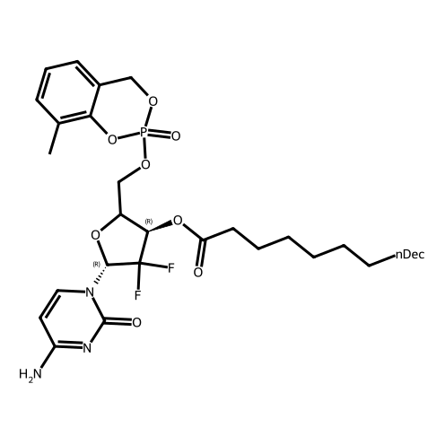 CCCCCCCCCCCCCCCCC(=O)O[C@@H]1C(COP2(=O)OCc3cccc(C)c3O2)O[C@@H](n2ccc(N)nc2=O)C1(F)F